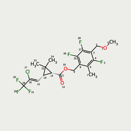 COCc1c(F)c(C)c(COC(=O)[C@@H]2[C@H](/C=C(\Cl)C(F)(F)F)C2(C)C)c(F)c1F